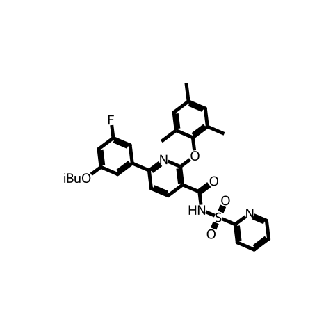 Cc1cc(C)c(Oc2nc(-c3cc(F)cc(OCC(C)C)c3)ccc2C(=O)NS(=O)(=O)c2ccccn2)c(C)c1